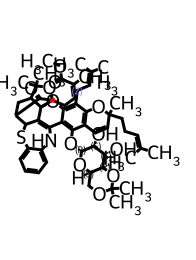 COC(=O)/C(C)=C\CC12OC(C)(C)C3CC(C1=O)C1Sc4ccccc4NC4=C1C32Oc1c(CC=C(C)C)c2c(c(O[C@H]3O[C@H]5COC(C)(C)O[C@@H]5[C@@H](O)[C@@H]3O)c14)C=CC(C)(CCC=C(C)C)O2